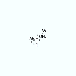 O.[LiH].[MgH2].[W]